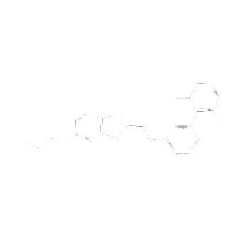 OCCOc1ccc2sc(CNc3nncc(-c4c(Cl)cccc4Cl)n3)nc2c1